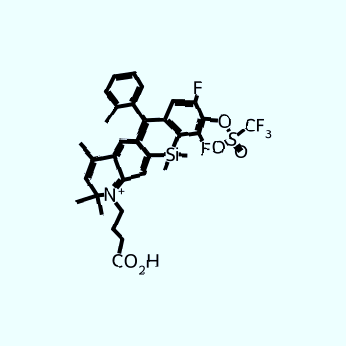 CC1=CC(C)(C)[N+](CCCC(=O)O)=c2cc3c(cc21)=C(c1ccccc1C)c1cc(F)c(OS(=O)(=O)C(F)(F)F)c(F)c1[Si]3(C)C